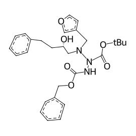 CC(C)(C)OC(=O)N(NC(=O)OCc1ccccc1)N(Cc1ccoc1)C[C@@H](O)CCc1ccccc1